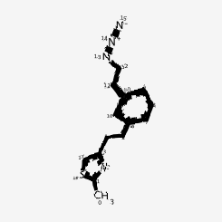 Cc1nc(CCc2cccc(CCN=[N+]=[N-])c2)cs1